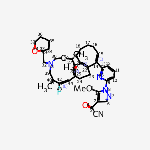 COc1c(C(=O)C#N)cnn1-c1cccc(C2=C/CCCC/C(C)=C\2CCC2=C/C(C)CCN(C[C@@H]3CCCCO3)CC(C)/C(F)=C\2)n1